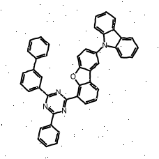 c1ccc(-c2cccc(-c3nc(-c4ccccc4)nc(-c4cccc5c4oc4ccc(-n6c7ccccc7c7ccccc76)cc45)n3)c2)cc1